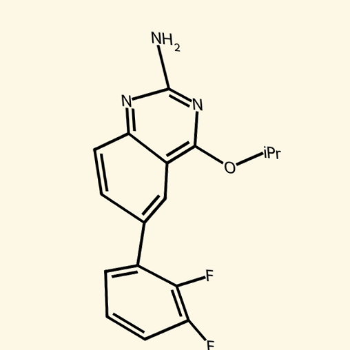 CC(C)Oc1nc(N)nc2ccc(-c3cccc(F)c3F)cc12